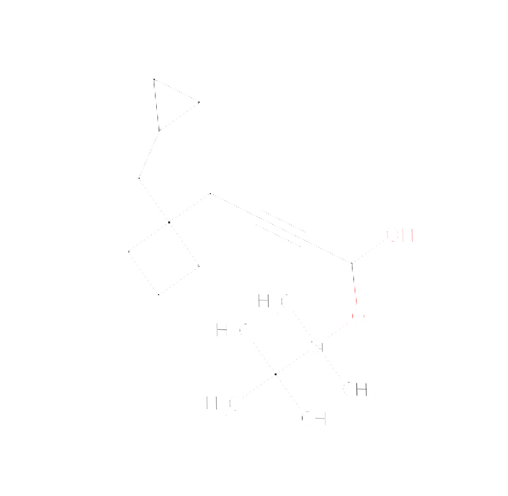 CC(C)(C)[Si](C)(C)OC(O)C#CCC1(CC2CC2)CCC1